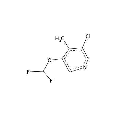 Cc1c(Cl)cncc1OC(F)F